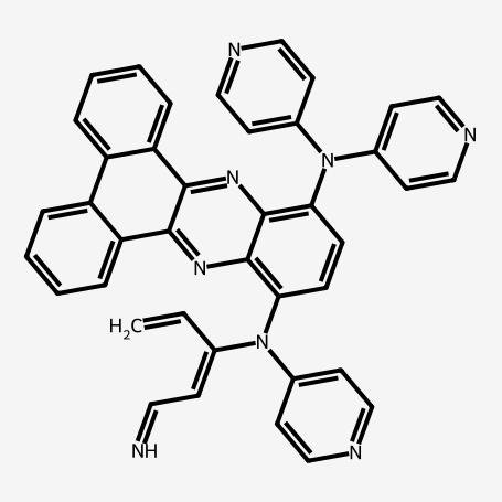 C=C/C(=C\C=N)N(c1ccncc1)c1ccc(N(c2ccncc2)c2ccncc2)c2nc3c4ccccc4c4ccccc4c3nc12